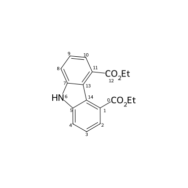 CCOC(=O)c1cccc2[nH]c3cccc(C(=O)OCC)c3c12